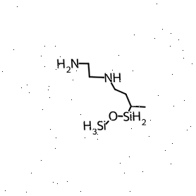 CC(CCNCCN)[SiH2]O[SiH3]